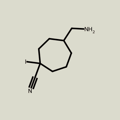 N#CC1(I)CCCC(CN)CC1